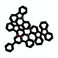 c1ccc(-c2cccc(-c3ccccc3N(c3ccc4c(c3)C3(c5ccccc5-4)c4ccccc4-n4c5ccccc5c5cccc3c54)c3cccc4c3-c3ccccc3C43c4ccccc4-c4ccccc43)c2)cc1